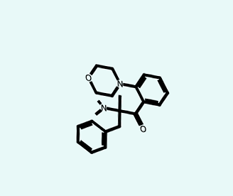 CN(C)C(C)(Cc1ccccc1)C(=O)c1ccccc1N1CCOCC1